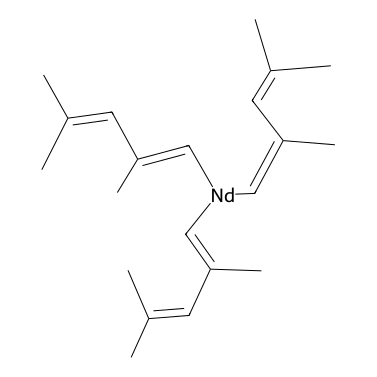 CC(C)=CC(C)=[CH][Nd]([CH]=C(C)C=C(C)C)[CH]=C(C)C=C(C)C